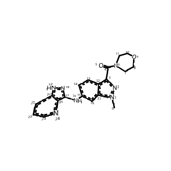 Cn1nc(C(=O)N2CCOCC2)c2ccc(Nc3n[nH]c4cccnc34)cc21